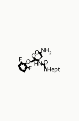 CCCCCCCC(=O)N[C@H](CC(N)=O)C(=O)COc1c(F)cccc1F